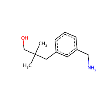 CC(C)(CO)Cc1cccc(CN)c1